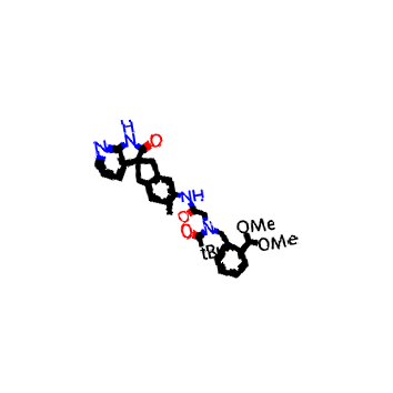 COC(OC)c1ccccc1CN(CC(=O)Nc1cc2c(cc1C)CC1(C2)C(=O)Nc2ncccc21)C(=O)C(C)(C)C